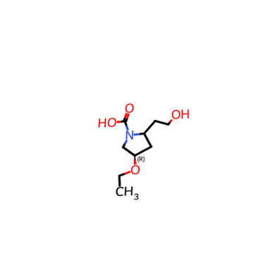 CCO[C@@H]1CC(CCO)N(C(=O)O)C1